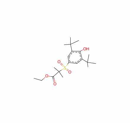 CCOC(=O)C(C)(C)S(=O)(=O)c1cc(C(C)(C)C)c(O)c(C(C)(C)C)c1